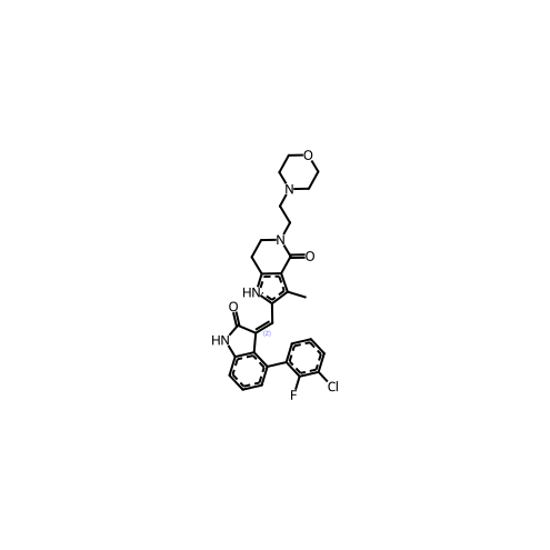 Cc1c(/C=C2\C(=O)Nc3cccc(-c4cccc(Cl)c4F)c32)[nH]c2c1C(=O)N(CCN1CCOCC1)CC2